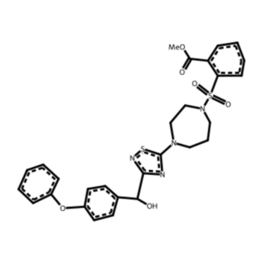 COC(=O)c1ccccc1S(=O)(=O)N1CCCN(c2nc(C(O)c3ccc(Oc4ccccc4)cc3)ns2)CC1